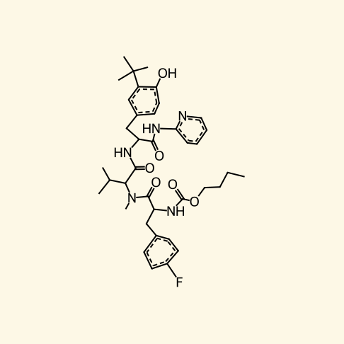 CCCCOC(=O)NC(Cc1ccc(F)cc1)C(=O)N(C)C(C(=O)NC(Cc1ccc(O)c(C(C)(C)C)c1)C(=O)Nc1ccccn1)C(C)C